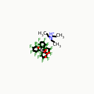 CCC[NH+](CCC)CCC.FC1=C(F)C(F)C(F)([B-](C2(F)C(F)=C(F)C(F)=C(F)C2F)(C2(F)C(F)=C(F)C(F)=C(F)C2F)C2(F)C(F)=C(F)C(F)=C(F)C2F)C(F)=C1F